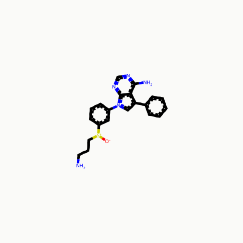 NCCC[S+]([O-])c1cccc(-n2cc(-c3ccccc3)c3c(N)ncnc32)c1